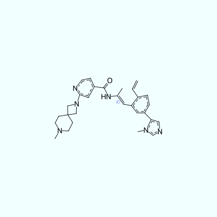 C=Cc1ccc(-c2cncn2C)cc1/C=C(\C)NC(=O)c1ccnc(N2CC3(CCN(C)CC3)C2)c1